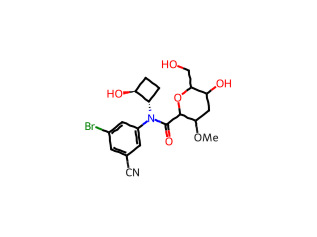 COC1CC(O)C(CO)OC1C(=O)N(c1cc(Br)cc(C#N)c1)[C@H]1CC[C@@H]1O